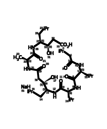 CC(C)CC(=O)N[C@H](C(=O)N[C@H](C(=O)N[C@@H](CC(C)C)[C@@H](O)CC(=O)N[C@@H](C)C(=O)N[C@@H](CC(C)C)[C@@H](O)CC(=O)O)C(C)C)C(C)C.[NaH]